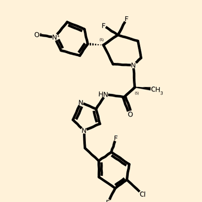 C[C@@H](C(=O)Nc1cn(Cc2cc(F)c(Cl)cc2F)cn1)N1CCC(F)(F)[C@@H](c2cc[n+]([O-])cc2)C1